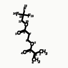 C=C(C)C(=O)OCCC(=O)OCC(F)(F)F